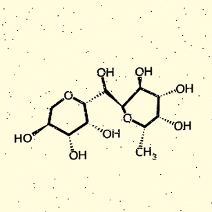 C[C@@H]1O[C@@H](C(O)[C@H]2O[CH][C@H](O)[C@@H](O)[C@H]2O)[C@@H](O)[C@H](O)[C@@H]1O